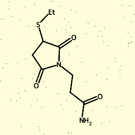 CCSC1CC(=O)N(CCC(N)=O)C1=O